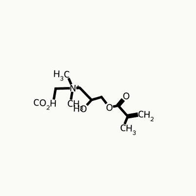 C=C(C)C(=O)OCC(O)C[N+](C)(C)CC(=O)O